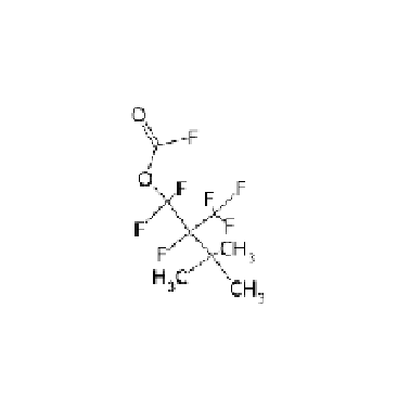 CC(C)(C)C(F)(C(F)(F)F)C(F)(F)OC(=O)F